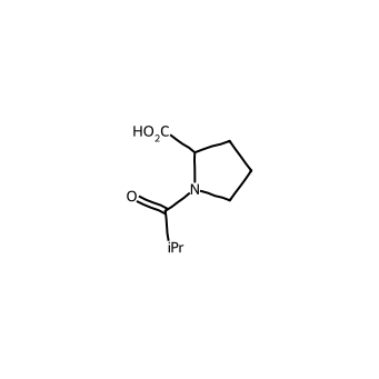 CC(C)C(=O)N1CCCC1C(=O)O